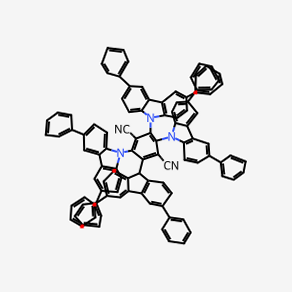 N#Cc1c(C2c3ccc(-c4ccccc4)cc3-c3cc(-c4ccccc4)ccc32)c(-n2c3ccc(-c4ccccc4)cc3c3cc(-c4ccccc4)ccc32)c(C#N)c(-n2c3ccc(-c4ccccc4)cc3c3cc(-c4ccccc4)ccc32)c1-n1c2ccc(-c3ccccc3)cc2c2cc(-c3ccccc3)ccc21